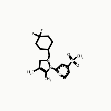 CC1=C(C)N(c2cccc(S(C)(=O)=O)c2)N(CC2CCC(F)(F)CC2)C1